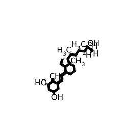 [2H]C([2H])([2H])C(C)(O)CCC[C@@H](C)[C@H]1CCC2C(=C/C=C3/C[C@@H](O)C[C@@H](O)C3=C)CCC[C@@]21C